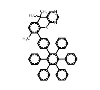 Cc1ccc2c(c1-c1ccc(-c3c(-c4ccccc4)c(-c4ccccc4)c(-c4ccccc4)c(-c4ccccc4)c3-c3ccccc3)cc1)Sc1ncncc1C2(C)C